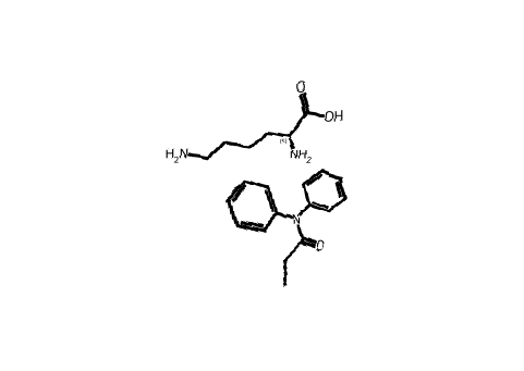 CCC(=O)N(c1ccccc1)c1ccccc1.NCCCC[C@H](N)C(=O)O